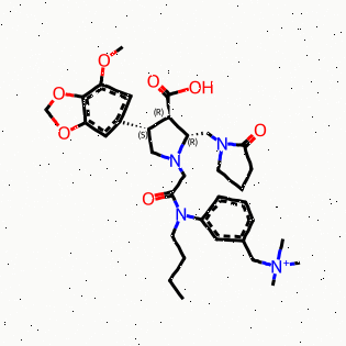 CCCCN(C(=O)CN1C[C@H](c2cc(OC)c3c(c2)OCO3)[C@@H](C(=O)O)[C@@H]1CN1CCCC1=O)c1cccc(C[N+](C)(C)C)c1